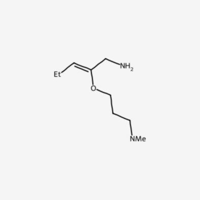 CC/C=C(/CN)OCCCNC